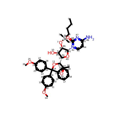 CCCC[Si](C)(C)O[C@@H]1[C@H](O)[C@@H](C(OC(c2ccccc2)(c2ccc(OC)cc2)c2ccc(OC)cc2)C(C)=O)O[C@H]1n1ccc(N)nc1=O